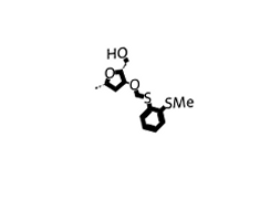 CSc1ccccc1SCO[C@@H]1C[C@H](C)O[C@@H]1CO